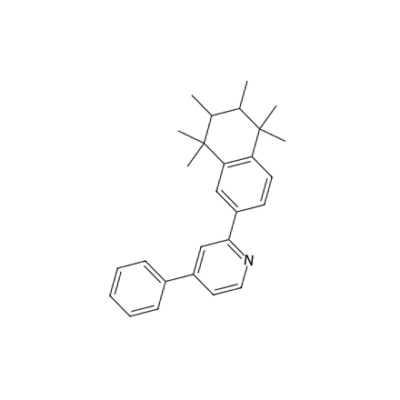 CC1C(C)C(C)(C)c2cc(-c3cc(-c4ccccc4)ccn3)ccc2C1(C)C